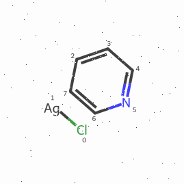 [Cl][Ag].c1ccncc1